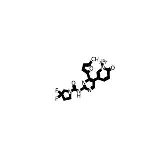 Cc1ccc(-c2nc(NC(=O)N3CCC(F)(F)C3)ncc2-c2ccc(=O)n(C(C)C)c2)o1